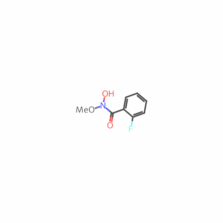 CON(O)C(=O)c1ccccc1F